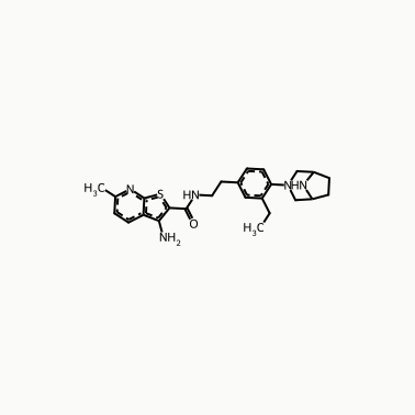 CCc1cc(CCNC(=O)c2sc3nc(C)ccc3c2N)ccc1N1CC2CCC(C1)N2